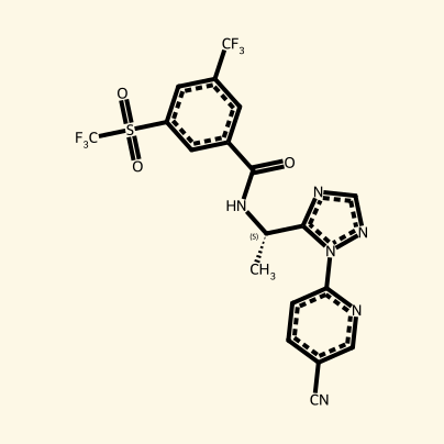 C[C@H](NC(=O)c1cc(C(F)(F)F)cc(S(=O)(=O)C(F)(F)F)c1)c1ncnn1-c1ccc(C#N)cn1